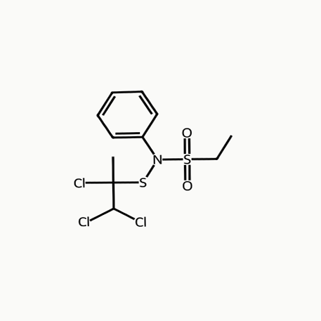 CCS(=O)(=O)N(SC(C)(Cl)C(Cl)Cl)c1ccccc1